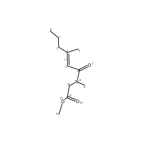 CCC/C(C)=C/C(=O)N(C)CC(=O)OC